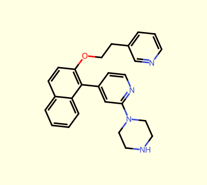 c1cncc(CCOc2ccc3ccccc3c2-c2ccnc(N3CCNCC3)c2)c1